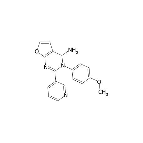 COc1ccc(N2C(c3cccnc3)=Nc3occc3C2N)cc1